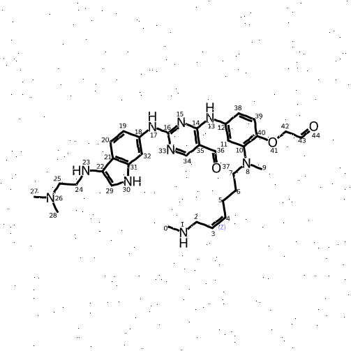 CNC/C=C\CCCN(C)c1cc(Nc2nc(Nc3ccc4c(NCCN(C)C)c[nH]c4c3)ncc2C=O)ccc1OCC=O